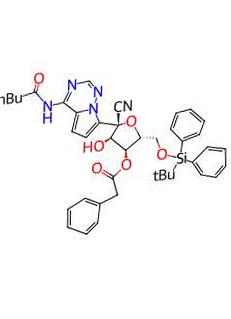 CCCCC(=O)Nc1ncnn2c([C@]3(C#N)O[C@H](CO[Si](c4ccccc4)(c4ccccc4)C(C)(C)C)[C@@H](OC(=O)Cc4ccccc4)[C@H]3O)ccc12